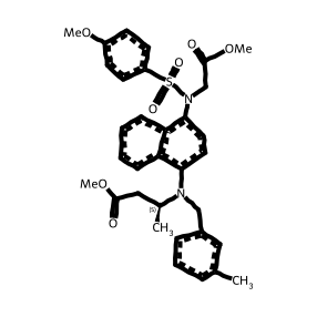 COC(=O)C[C@H](C)N(Cc1cccc(C)c1)c1ccc(N(CC(=O)OC)S(=O)(=O)c2ccc(OC)cc2)c2ccccc12